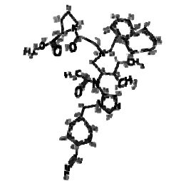 CCC(C)C(CN(CC(=O)N1CCC[C@@H]1C(=O)OC)Cc1cccc2ccccc12)N(C(C)=O)c1cncn1Cc1ccc(C#N)cc1